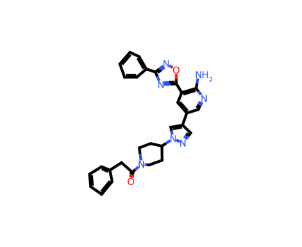 Nc1ncc(-c2cnn(C3CCN(C(=O)Cc4ccccc4)CC3)c2)cc1-c1nc(-c2ccccc2)no1